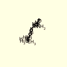 C[C@H](CN(C)C)NC(=O)c1ccc(N2CCN(CCn3cnc4c3nc(N)n3nc(-c5ccco5)nc43)CC2)c(F)c1